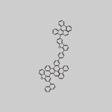 c1ccc(-c2ccccc2-c2c3ccccc3c(-c3ccc4oc5c(-c6ccc(-c7ccc(-c8c9ccccc9c(-c9cc(-c%10cccc%11ccccc%10%11)cc%10oc%11ccccc%11c9%10)c9ccccc89)c(-c8cc9ccccc9c9ccccc89)c7)cc6)cccc5c4c3)c3ccccc23)cc1